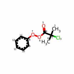 CC(C)(Cl)C(=O)OOc1ccccc1